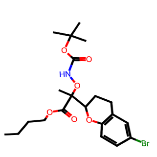 CCCCOC(=O)C(C)(ONC(=O)OC(C)(C)C)C1CCc2cc(Br)ccc2O1